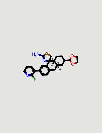 NC1=NC2(CS1)c1cc(-c3cccnc3F)ccc1C[C@H]1CC(C3OCCO3)CC[C@H]12